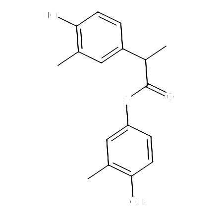 Cc1cc(OC(=O)C(C)c2ccc(O)c(C)c2)ccc1O